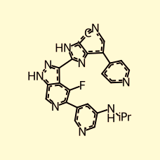 CC(C)Nc1cncc(-c2ncc3[nH]nc(-c4nc5c(-c6ccncc6)cncc5[nH]4)c3c2F)c1